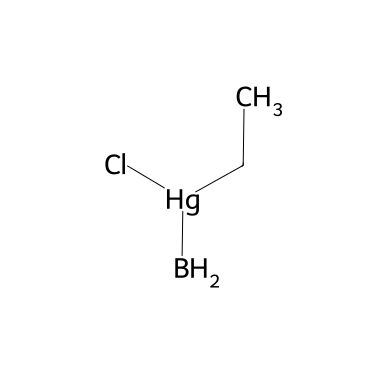 [BH2][Hg]([Cl])[CH2]C